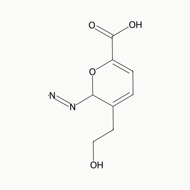 [N]=NC1OC(C(=O)O)=CC=C1CCO